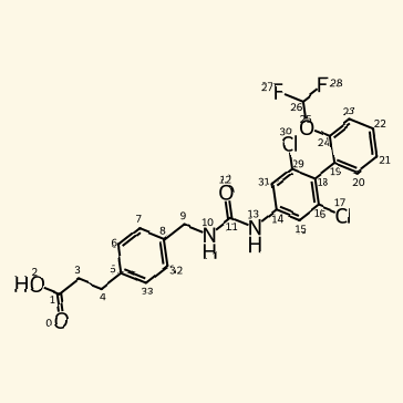 O=C(O)CCc1ccc(CNC(=O)Nc2cc(Cl)c(-c3ccccc3OC(F)F)c(Cl)c2)cc1